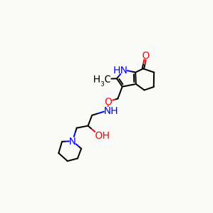 Cc1[nH]c2c(c1CONCC(O)CN1CCCCC1)CCCC2=O